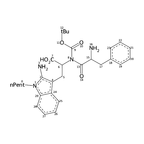 CCCCCn1c(N)c(CC(C(=O)O)N(C(=O)OC(C)(C)C)C(=O)C(N)Cc2ccccc2)c2ccccc21